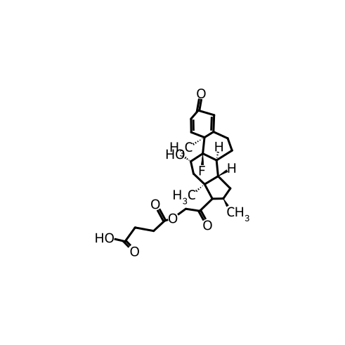 C[C@@H]1C[C@H]2[C@@H]3CCC4=CC(=O)C=C[C@]4(C)[C@@]3(F)[C@@H](O)C[C@]2(C)C1C(=O)COC(=O)CCC(=O)O